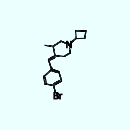 CC1CN(C2CCC2)CCC1=Cc1ccc(Br)cc1